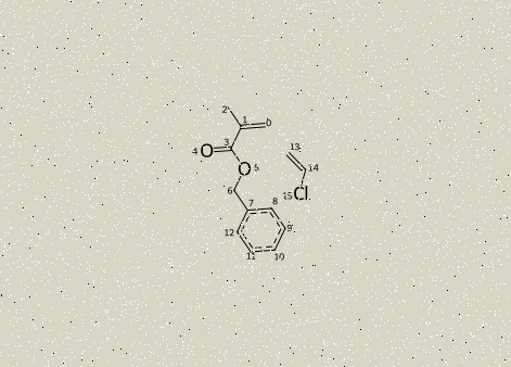 C=C(C)C(=O)OCc1ccccc1.C=CCl